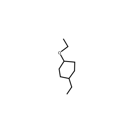 CCOC1CCC(CC)CC1